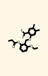 CCOc1cccc(OC(=O)CC)c1COc1cc(C)c(C)cc1C(F)F